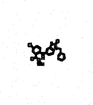 CC(C)(C)OC(=O)c1cc(Cl)ccc1Nc1ccc2c(c1)sc(=O)n2Cc1ccccc1